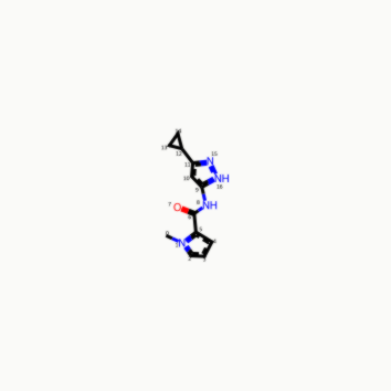 Cn1cccc1C(=O)Nc1cc(C2CC2)n[nH]1